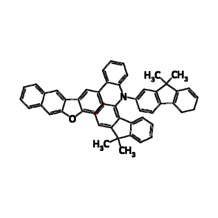 CC1(C)C2=C(CCC=C2)c2ccc(N(c3ccccc3-c3ccc4oc5cc6ccccc6cc5c4c3)c3cccc4c3-c3ccccc3C4(C)C)cc21